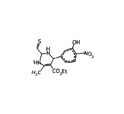 CCOC(=O)C1=C(C)NC(C=S)NC1c1ccc([N+](=O)[O-])c(O)c1